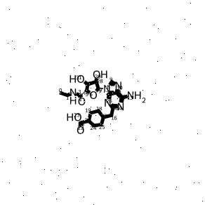 CCNC(=O)[C@H]1O[C@@H](n2cnc3c(N)nc(CC4CCC(C(=O)O)CC4)nc32)C(O)C1O